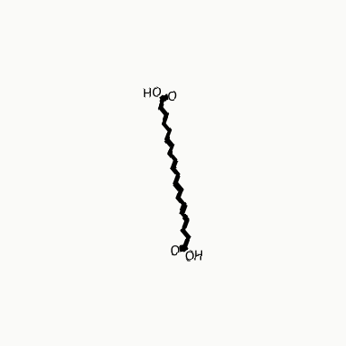 O=C(O)CCCC=CCC=CCC=CCC=CCCCCC(=O)O